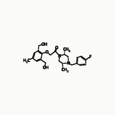 Cc1cc(CO)c(OCC(=O)N2CC(C)N(Cc3ccc(F)cc3)CC2C)c(CO)c1